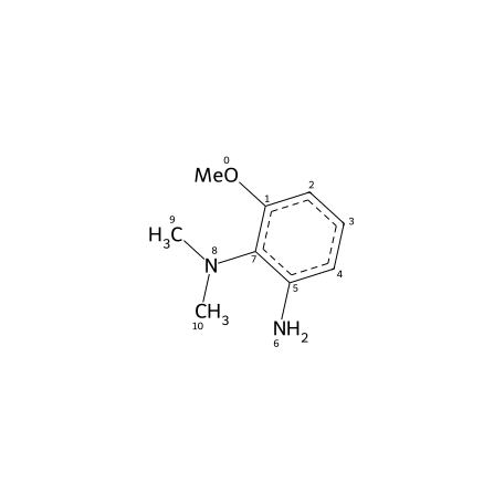 COc1cccc(N)c1N(C)C